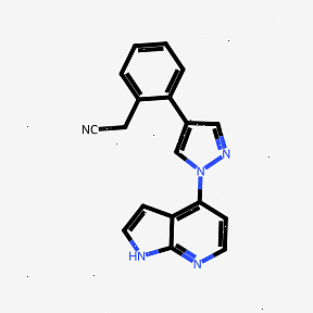 N#CCc1ccccc1-c1cnn(-c2ccnc3[nH]ccc23)c1